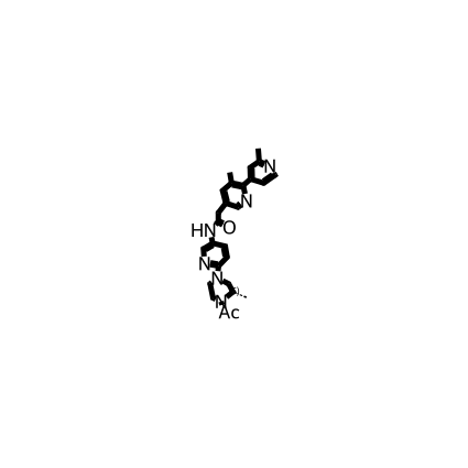 CC(=O)N1CCN(c2ccc(NC(=O)Cc3cnc(-c4ccnc(C)c4)c(C)c3)cn2)C[C@@H]1C